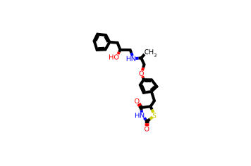 CC(COc1ccc(CC2SC(=O)NC2=O)cc1)NCC(O)Cc1ccccc1